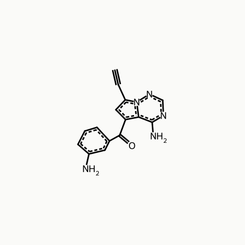 C#Cc1cc(C(=O)c2cccc(N)c2)c2c(N)ncnn12